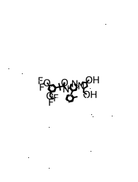 Cc1ccccc1-c1cc(N2CC(O)CC2CO)ncc1N(C)C(=O)C(C)(C)c1cc(OC(F)F)cc(OC(F)F)c1